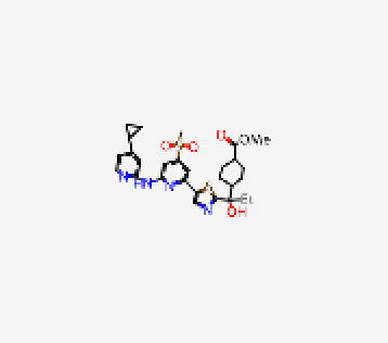 CCC(O)(c1ncc(-c2cc(S(C)(=O)=O)cc(Nc3cc(C4CC4)ccn3)n2)s1)C1CCC(C(=O)OC)CC1